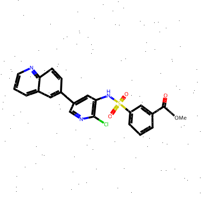 COC(=O)c1cccc(S(=O)(=O)Nc2cc(-c3ccc4ncccc4c3)cnc2Cl)c1